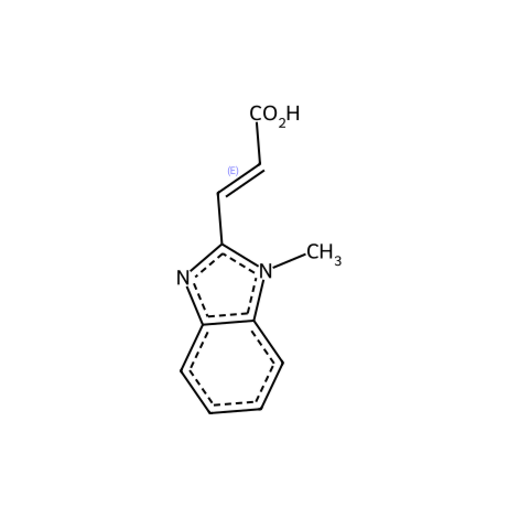 Cn1c(/C=C/C(=O)O)nc2ccccc21